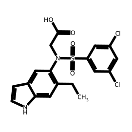 CCc1cc2[nH]ccc2cc1N(CC(=O)O)S(=O)(=O)c1cc(Cl)cc(Cl)c1